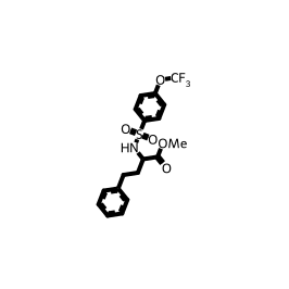 COC(=O)C(CCc1ccccc1)NS(=O)(=O)c1ccc(OC(F)(F)F)cc1